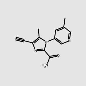 C#Cc1nc(C(N)=O)n(-c2cncc(C)c2)c1C